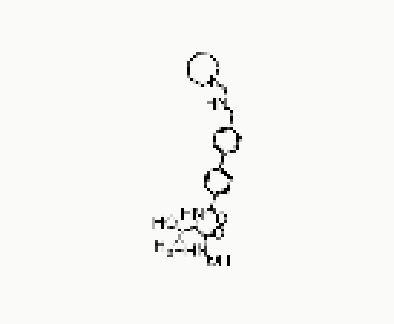 C[C@@H](O)[C@H](NC(=O)c1ccc(-c2ccc(CNCN3CCCCCC3)cc2)cc1)C(=O)NO